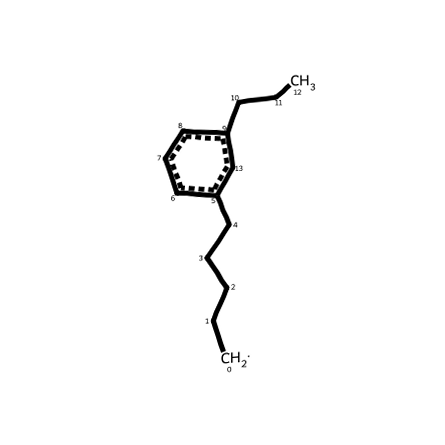 [CH2]CCCCc1cccc(CCC)c1